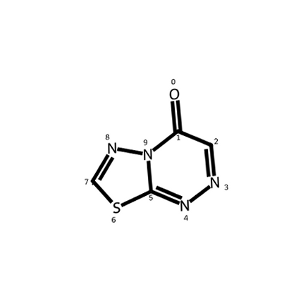 O=c1cnnc2s[c]nn12